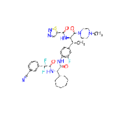 C[C@@H](c1ccc(NC(=O)[C@@H](NC(=O)C(F)(F)c2cccc(C#N)c2)C2CCCCCC2)c(F)c1)[C@@H](NC(=O)c1cnns1)C(=O)N1CCN(C)CC1